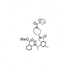 COC(=O)c1ccccc1NC(C)c1cc(C)cc2c1CN(C1CCCN(C(=O)C34CC(CCO3)C4)CC1)C2=O